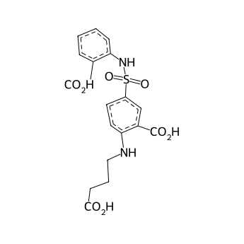 O=C(O)CCCNc1ccc(S(=O)(=O)Nc2ccccc2C(=O)O)cc1C(=O)O